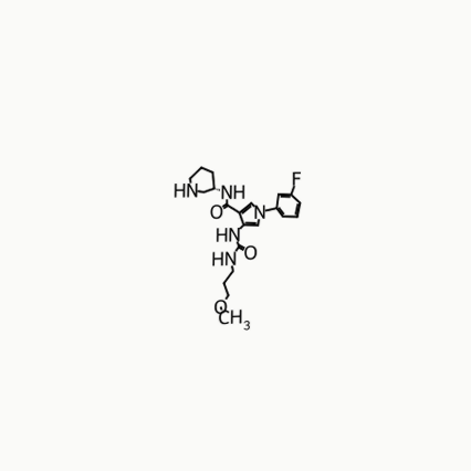 COCCCNC(=O)Nc1cn(-c2cccc(F)c2)cc1C(=O)N[C@H]1CCCNC1